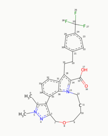 Cc1c2c(nn1C)COCCCCn1c(C(=O)O)c(CCc3ccc(C(F)(F)F)cc3)c3cccc-2c31